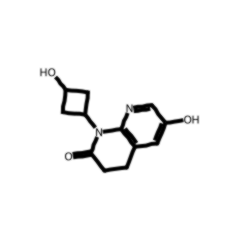 O=C1CCc2cc(O)cnc2N1C1CC(O)C1